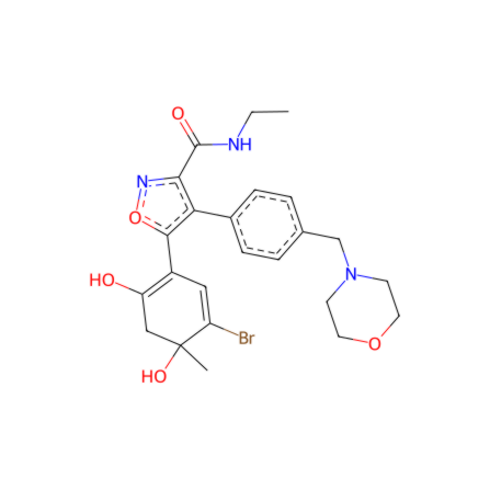 CCNC(=O)c1noc(C2=C(O)CC(C)(O)C(Br)=C2)c1-c1ccc(CN2CCOCC2)cc1